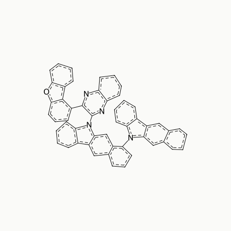 c1ccc2cc3c(cc2c1)c1ccccc1n3-c1cccc2cc3c4ccccc4n(-c4nc5ccccc5nc4-c4cccc5oc6ccccc6c45)c3cc12